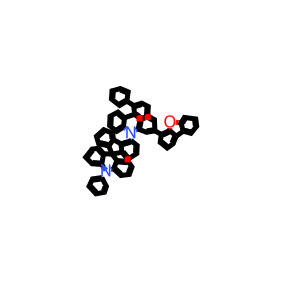 c1ccc(-c2ccccc2-c2ccccc2N(c2cccc(-c3cccc4c3oc3ccccc34)c2)c2cccc3c2-c2ccccc2C32c3ccccc3N(c3ccccc3)c3ccccc32)cc1